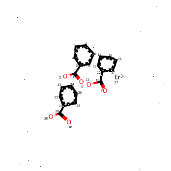 O=C([O-])c1ccccc1.O=C([O-])c1ccccc1.O=C([O-])c1ccccc1.[Er+3]